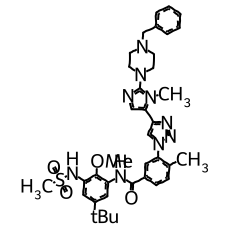 COc1c(NC(=O)c2ccc(C)c(-n3cc(-c4cnc(N5CCN(Cc6ccccc6)CC5)n4C)nn3)c2)cc(C(C)(C)C)cc1NS(C)(=O)=O